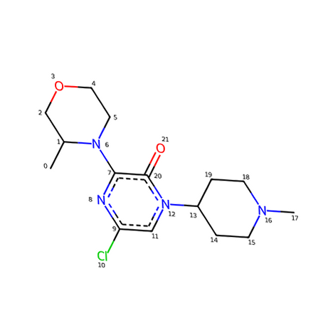 CC1COCCN1c1nc(Cl)cn(C2CCN(C)CC2)c1=O